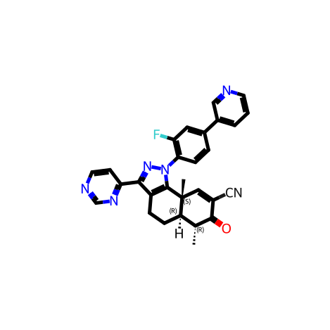 C[C@H]1C(=O)C(C#N)=C[C@@]2(C)c3c(c(-c4ccncn4)nn3-c3ccc(-c4cccnc4)cc3F)CC[C@H]12